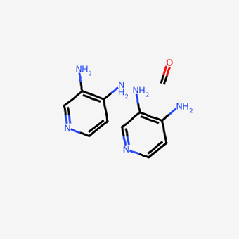 C=O.Nc1ccncc1N.Nc1ccncc1N